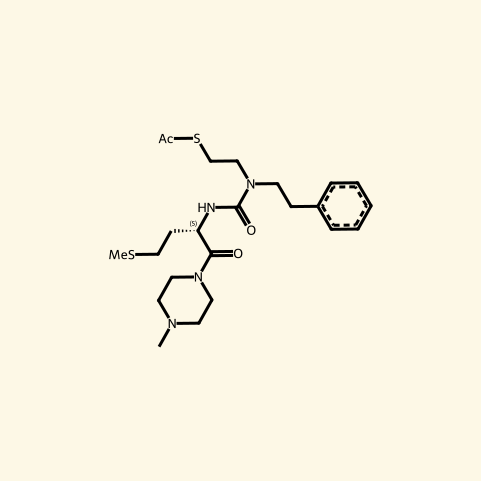 CSCC[C@H](NC(=O)N(CCSC(C)=O)CCc1ccccc1)C(=O)N1CCN(C)CC1